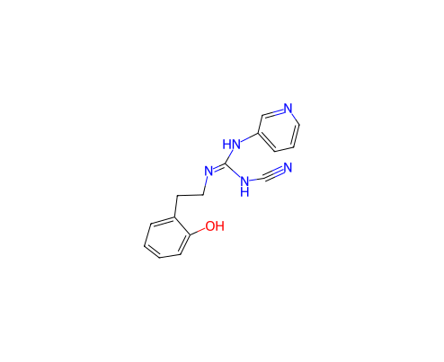 N#CNC(=NCCc1ccccc1O)Nc1cccnc1